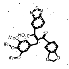 COc1cc(CC(C(=O)c2ccc3c(c2)OCO3)=C(C(=O)O)c2ccc3nsnc3c2)cc(OC(C)C)c1OC(C)C